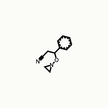 N#CCC(ON1CC1)c1ccccc1